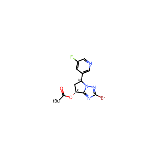 CC(C)(C)C(=O)O[C@@H]1C[C@@H](c2cncc(F)c2)n2nc(Br)nc21